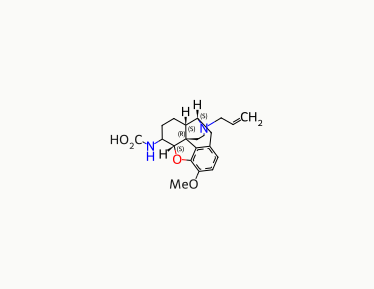 C=CCN1CC[C@@]23c4c5ccc(OC)c4O[C@@H]2C(NC(=O)O)CC[C@@H]3[C@@H]1C5